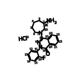 Cl.N[C@@H]1CCCCN(c2nn(-c3ccccc3F)c(=O)c3ccccc23)C1